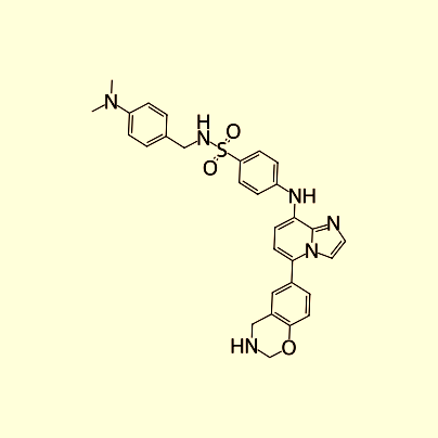 CN(C)c1ccc(CNS(=O)(=O)c2ccc(Nc3ccc(-c4ccc5c(c4)CNCO5)n4ccnc34)cc2)cc1